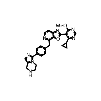 COc1ncnc(C2CC2)c1-c1nc2ccnc(Cc3ccc(-c4ncc5n4CCNC5)cc3)c2o1